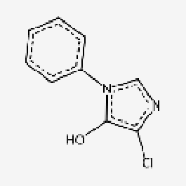 Oc1c(Cl)ncn1-c1ccccc1